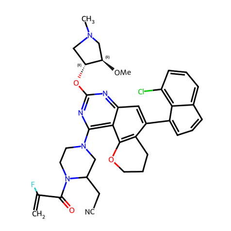 C=C(F)C(=O)N1CCN(c2nc(O[C@@H]3CN(C)C[C@H]3OC)nc3cc(-c4cccc5cccc(Cl)c45)c4c(c23)OCCC4)CC1CC#N